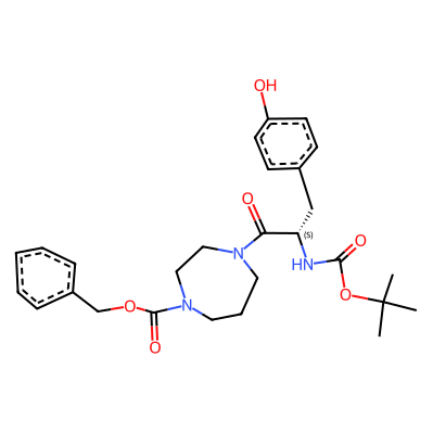 CC(C)(C)OC(=O)N[C@@H](Cc1ccc(O)cc1)C(=O)N1CCCN(C(=O)OCc2ccccc2)CC1